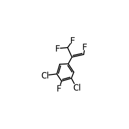 FC=C(c1cc(Cl)c(F)c(Cl)c1)C(F)F